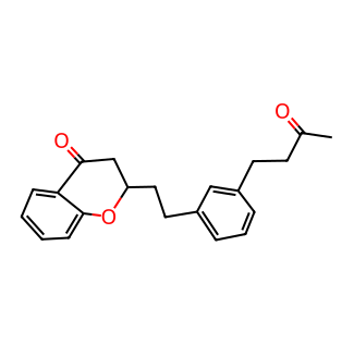 CC(=O)CCc1cccc(CCC2CC(=O)c3ccccc3O2)c1